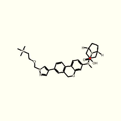 CN(c1ccc2c(c1)OCc1cc(-c3cnn(COCC[Si](C)(C)C)c3)ccc1-2)[C@@H]1C[C@H]2CC[C@@H](C1)N2C(=O)O